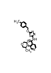 Cc1ccc(COc2nnc(NC(=O)c3ccncc3N3[C@@H](C)COC[C@@H]3C)s2)cc1